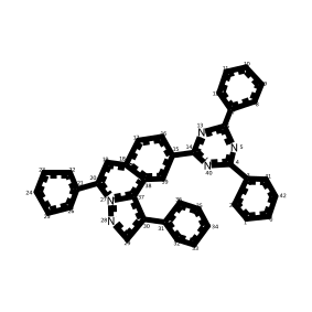 c1ccc(-c2nc(-c3ccccc3)nc(-c3ccc4cc(-c5ccccc5)n5ncc(-c6ccccc6)c5c4c3)n2)cc1